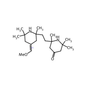 CO/C=C1\CC(C)(C)NC(C)(CCC2(C)CC(=O)CC(C)(C)N2)C1